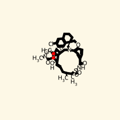 CO[C@@H](C(=O)N(C)C)[C@]1(O)/C=C/C[C@H](C)[C@@H](C)S(=O)(=O)NC(=O)c2ccc3c(c2)N(C[C@@H]2CC[C@H]21)C[C@@]1(CCCc2cc(Cl)ccc21)CO3